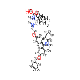 CC(C)(C)C1CN(CCOc2ccc(C3c4ccc(OCc5ccccc5)cc4CCN3c3ccccc3)cc2)CCN1C(=O)O